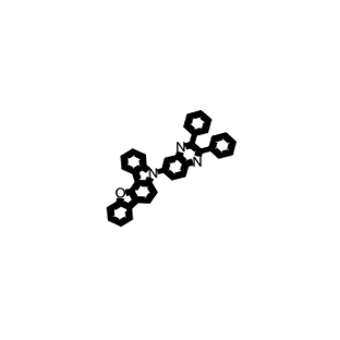 c1ccc(-c2nc3ccc(-n4c5ccccc5c5c6oc7ccccc7c6ccc54)cc3nc2-c2ccccc2)cc1